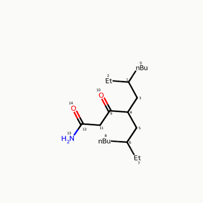 CCCCC(CC)CC(CC(CC)CCCC)C(=O)CC(N)=O